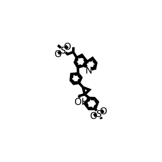 CC(CS(C)(=O)=O)c1cc(-c2cccc(C3CC3(CO)c3ccc(S(C)(=O)=O)cc3)c2)c2ncccc2c1